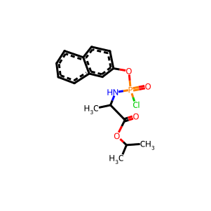 CC(C)OC(=O)C(C)NP(=O)(Cl)Oc1ccc2ccccc2c1